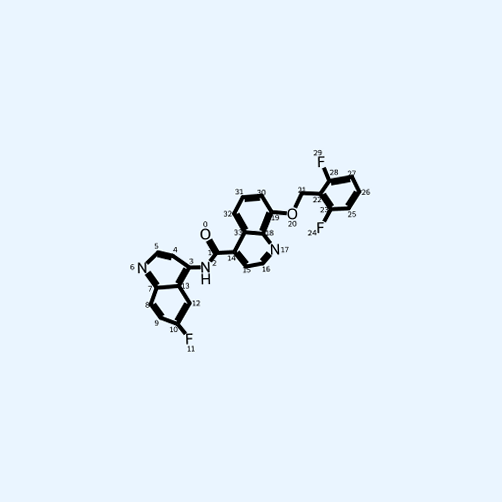 O=C(Nc1ccnc2ccc(F)cc12)c1ccnc2c(OCc3c(F)cccc3F)cccc12